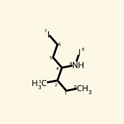 CCC(C)C(CCI)NI